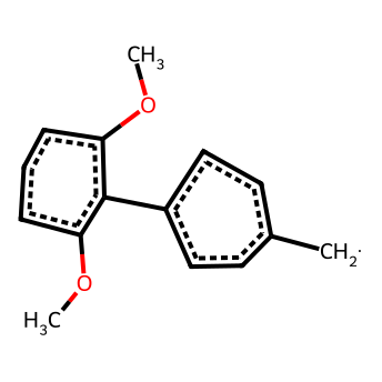 [CH2]c1ccc(-c2c(OC)cccc2OC)cc1